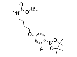 CN(CCCCOc1ccc(B2OC(C)(C)C(C)(C)O2)c(F)c1)C(=O)OC(C)(C)C